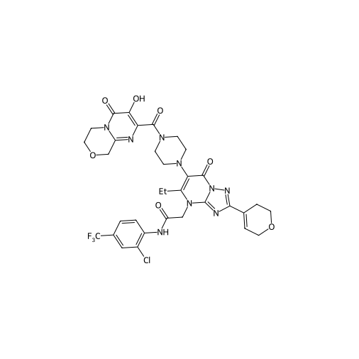 CCc1c(N2CCN(C(=O)c3nc4n(c(=O)c3O)CCOC4)CC2)c(=O)n2nc(C3=CCOCC3)nc2n1CC(=O)Nc1ccc(C(F)(F)F)cc1Cl